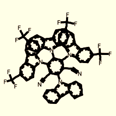 N#Cc1c(-n2c3ccccc3c3ccccc32)c(C#N)c(-n2c3ccc(C(F)(F)F)cc3c3cc(C(F)(F)F)ccc32)c(-n2c3ccccc3c3ccccc32)c1-n1c2ccc(C(F)(F)F)cc2c2cc(C(F)(F)F)ccc21